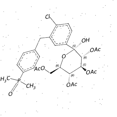 CC(=O)OC[C@H]1O[C@@](O)(c2ccc(Cl)c(Cc3ccc(P(C)(C)=O)cc3)c2)[C@H](OC(C)=O)[C@@H](OC(C)=O)[C@@H]1OC(C)=O